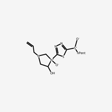 C=CCN1CC(O)[N+]([O-])(c2nnc([S+]([O-])CCCCC)s2)C1